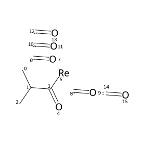 CC(C)[C](=O)[Re].[C]=O.[C]=O.[C]=O.[C]=O.[C]=O